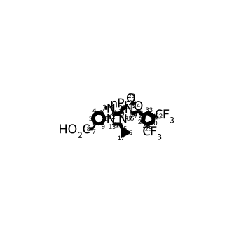 CCCN(C[C@H]1CC[C@H](CC(=O)O)CC1)c1ncc(C2CC2)nc1CN1C(=O)OC(c2cc(C(F)(F)F)cc(C(F)(F)F)c2)[C@@H]1C